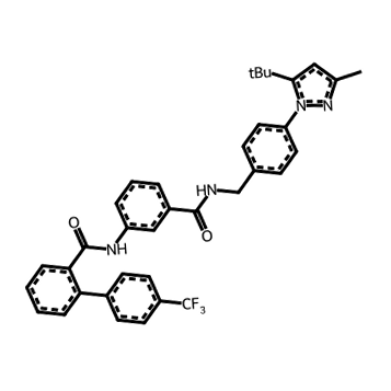 Cc1cc(C(C)(C)C)n(-c2ccc(CNC(=O)c3cccc(NC(=O)c4ccccc4-c4ccc(C(F)(F)F)cc4)c3)cc2)n1